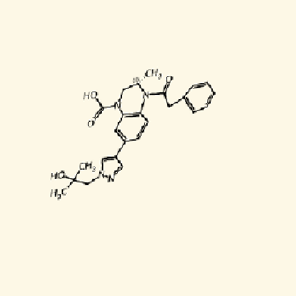 C[C@H]1CN(C(=O)O)c2cc(-c3cnn(CC(C)(C)O)c3)ccc2N1C(=O)Cc1ccccc1